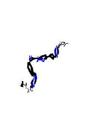 CC(C)N1CCN(Cc2ccc(-c3c[c]c(-c4cncc(-c5cccc(CN6CCN(C)CC6)c5)c4)nc3)cc2)CC1